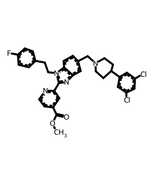 COC(=O)c1ccnc(-c2nc3cc(CN4CCC(c5cc(Cl)cc(Cl)c5)CC4)ccc3n2CCc2ccc(F)cc2)c1